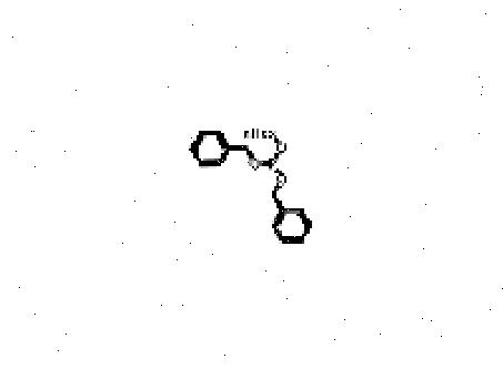 CCCCCCOP(OCc1ccccc1)OCc1ccccc1